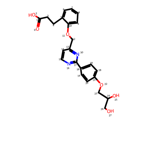 O=C(O)CCc1ccccc1OCc1ccnc(-c2ccc(OCC(O)CO)cc2)n1